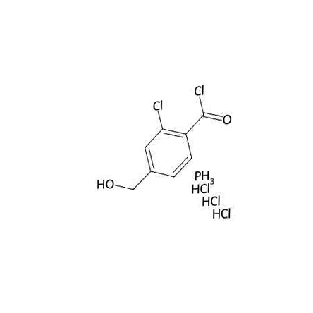 Cl.Cl.Cl.O=C(Cl)c1ccc(CO)cc1Cl.P